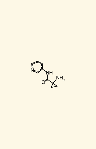 NC1(C(=O)Nc2cccnc2)CC1